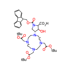 CC(C)(C)OC(=O)CN1CCN(CC(=O)OC(C)(C)C)CCN([C@@H]2CN(C(=O)OCC3c4ccccc4-c4ccccc43)[C@@H](C(=O)O)[C@H]2O)CCN(CC(=O)OC(C)(C)C)CC1